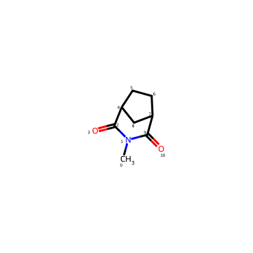 CN1C(=O)C2CCC(C2)C1=O